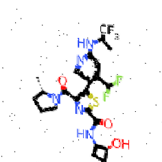 CC(Nc1cc(C(F)F)c(-c2sc(C(=O)N[C@@H]3CC[C@@H]3O)nc2C(=O)N2CCC[C@@H]2C)cn1)C(F)(F)F